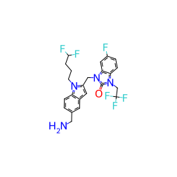 NCc1ccc2c(c1)cc(Cn1c(=O)n(CC(F)(F)F)c3ccc(F)cc31)n2CCCC(F)F